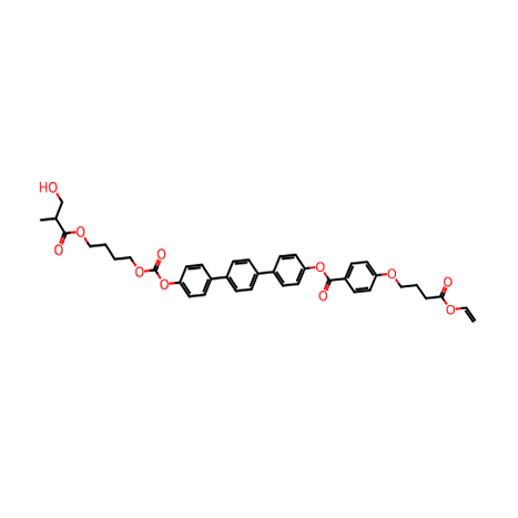 C=COC(=O)CCCOc1ccc(C(=O)Oc2ccc(-c3ccc(-c4ccc(OC(=O)OCCCCOC(=O)C(C)CO)cc4)cc3)cc2)cc1